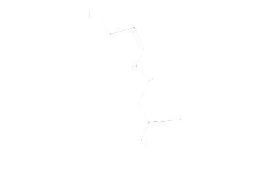 CC/C=C\CCCC(Cl)C=O